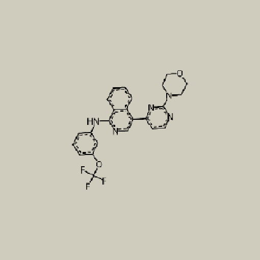 FC(F)(F)Oc1cccc(Nc2ncc(-c3ccnc(N4CCOCC4)n3)c3ccccc23)c1